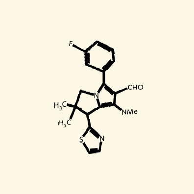 CNc1c(C=O)c(-c2cccc(F)c2)n2c1C(c1nccs1)C(C)(C)C2